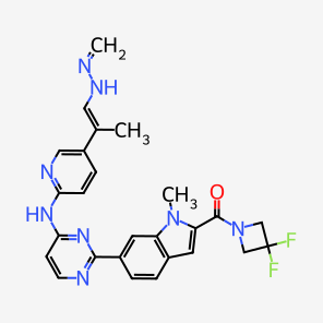 C=NN/C=C(\C)c1ccc(Nc2ccnc(-c3ccc4cc(C(=O)N5CC(F)(F)C5)n(C)c4c3)n2)nc1